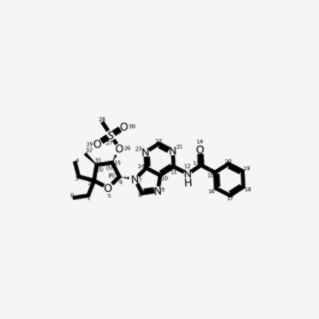 CCC1(CC)O[C@@H](n2cnc3c(NC(=O)c4ccccc4)ncnc32)[C@@H](OS(C)(=O)=O)[C@@H]1C